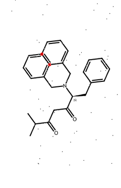 CC(C)C(=O)CC(=O)[C@H](Cc1ccccc1)N(Cc1ccccc1)Cc1ccccc1